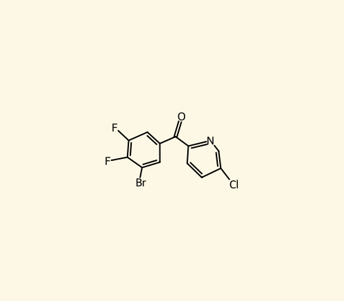 O=C(c1cc(F)c(F)c(Br)c1)c1ccc(Cl)cn1